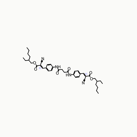 CCCCC(CC)COC(=O)/C(C#N)=C/c1ccc(NC(=O)CCC(=O)Nc2ccc(/C=C(\C#N)C(=O)OCC(CC)CCCC)cc2)cc1